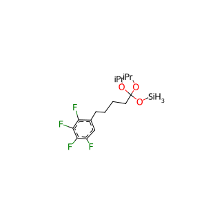 CC(C)OC(CCCCc1cc(F)c(F)c(F)c1F)(O[SiH3])OC(C)C